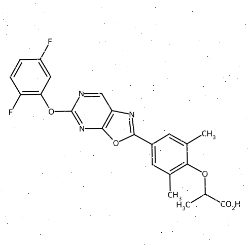 Cc1cc(-c2nc3cnc(Oc4cc(F)ccc4F)nc3o2)cc(C)c1OC(C)C(=O)O